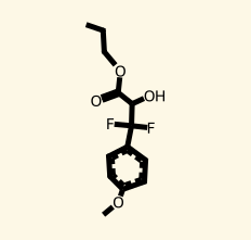 CCCOC(=O)C(O)C(F)(F)c1ccc(OC)cc1